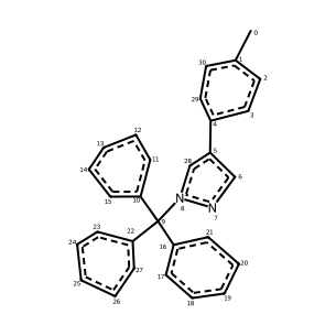 Cc1ccc(-c2cnn(C(c3ccccc3)(c3ccccc3)c3ccccc3)c2)cc1